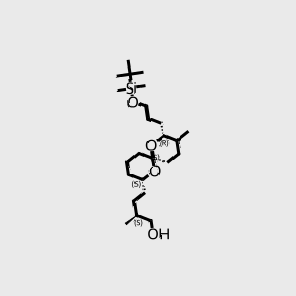 CC1CC[C@]2(CCC[C@@H](CC[C@H](C)CO)O2)O[C@@H]1CCCO[Si](C)(C)C(C)(C)C